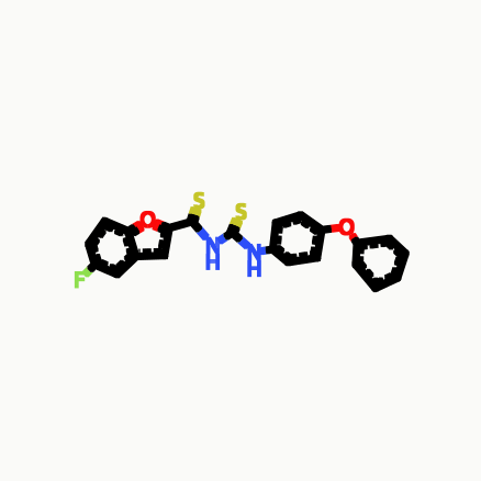 Fc1ccc2oc(C(=S)NC(=S)Nc3ccc(Oc4ccccc4)cc3)cc2c1